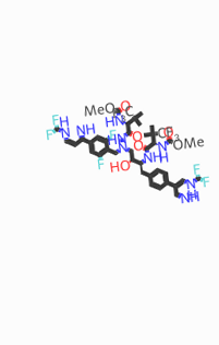 COC(=O)N[C@H](C(=O)N[C@@H](Cc1ccc(/C(C=N)=C/NC(F)F)cc1)[C@@H](O)CN(Cc1c(F)cc(C(=N)/C=C\NC(F)F)cc1F)NC(=O)[C@@H](NC(=O)OC)C(C)(C)C(F)(F)F)C(C)(C)C(F)(F)F